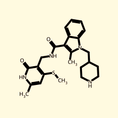 CSc1cc(C)[nH]c(=O)c1CNC(=O)c1c(C)n(CC2CCNCC2)c2ccccc12